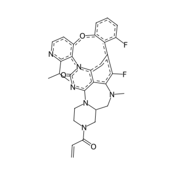 C=CC(=O)N1CCN2c3nc(=O)n4c5cc(c(F)c(c35)N(C)CC2C1)c1c(F)cccc1oc1ccnc(C(C)C)c14